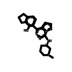 CN1CCC[C@@H](Nc2nnc(-c3ccc4c(c3O)CCC4)c3ccnn23)C1